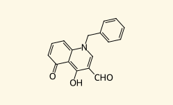 O=Cc1cn(Cc2ccccc2)c2cccc(=O)c-2c1O